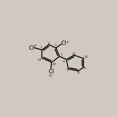 Clc1cc(Cl)c(-c2[c]cccc2)c(Cl)c1